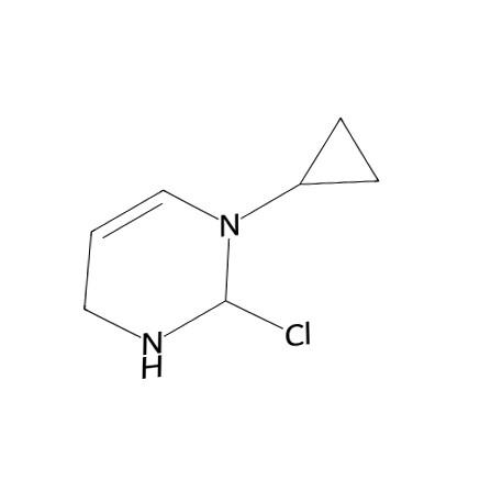 ClC1NCC=CN1C1CC1